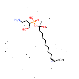 CCCCCCCC/C=C\CCCCCCCCC(O)(CC)OP(=O)(O)C(CO)CCN